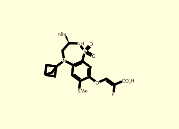 CCCC[C@@H]1CN(C23CC(C2)C3)c2cc(SC)c(O/C=C(\F)C(=O)O)cc2S(=O)(=O)N1